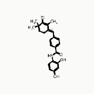 CCC1=C(C)/C(=C/c2ccc(C(=O)Nc3ccc(O)cc3O)cc2)CCC1(C)C